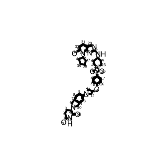 O=C1CCC(N2Cc3ccc(N4CC(Oc5ccc(S(=O)(=O)N6CCC(Nc7ncc8ccc(=O)n(C9CCCC9)c8n7)CC6)cc5)C4)cc3C2)C(=O)N1